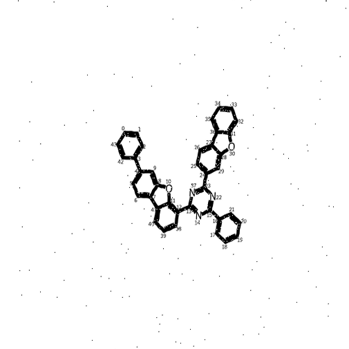 c1ccc(-c2ccc3c(c2)oc2c(-c4nc(-c5ccccc5)nc(-c5ccc6c(c5)oc5ccccc56)n4)cccc23)cc1